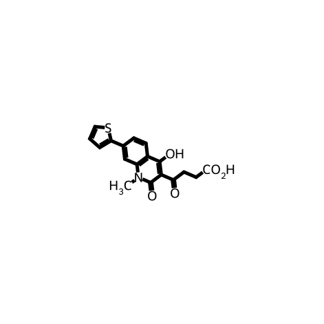 Cn1c(=O)c(C(=O)CCC(=O)O)c(O)c2ccc(-c3cccs3)cc21